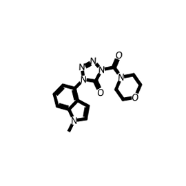 Cn1ccc2c(-n3nnn(C(=O)N4CCOCC4)c3=O)cccc21